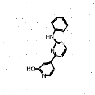 Oc1cc(-c2ccnc(Nc3ccccc3)n2)ccn1